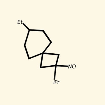 CCC1CCC2(CC1)CC(N=O)(C(C)C)C2